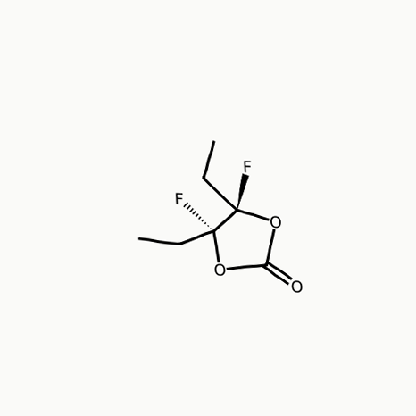 CC[C@]1(F)OC(=O)O[C@@]1(F)CC